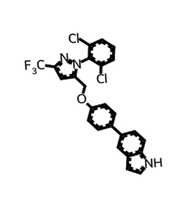 FC(F)(F)c1cc(COc2ccc(-c3ccc4[nH]ccc4c3)cc2)n(-c2c(Cl)cccc2Cl)n1